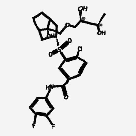 C[C@@H](O)[C@H](O)COC[C@]1(O)C2CCC1C[C@@H](S(=O)(=O)c1cc(C(=O)Nc3ccc(F)c(F)c3)ccc1Cl)C2